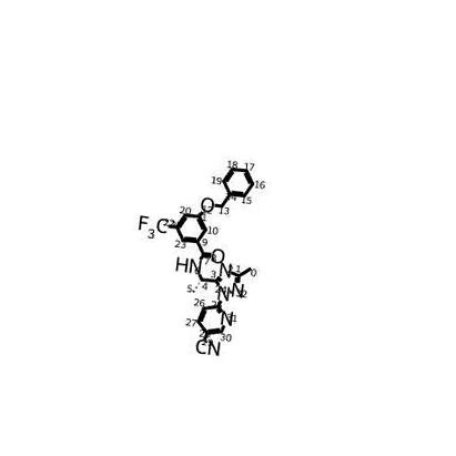 Cc1nc([C@H](C)NC(=O)c2cc(OCc3ccccc3)cc(C(F)(F)F)c2)n(-c2ccc(C#N)cn2)n1